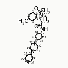 C=S(=O)(c1ccc(C)cc1)N(C)CCC(=O)Nc1ccc(N2CCN(c3ccncc3)CC2)cc1